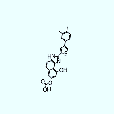 Cc1ccc(-c2csc(-c3nc4c(ccc5cc(OC(=O)O)cc(O)c54)[nH]3)c2)cc1C